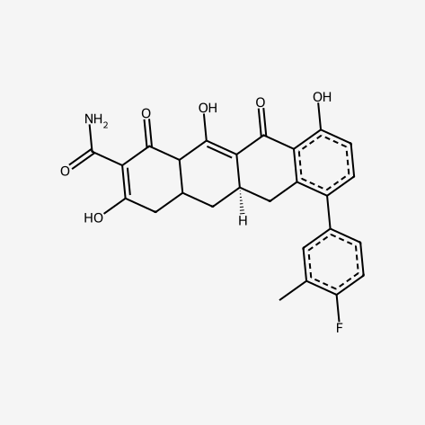 Cc1cc(-c2ccc(O)c3c2C[C@H]2CC4CC(O)=C(C(N)=O)C(=O)C4C(O)=C2C3=O)ccc1F